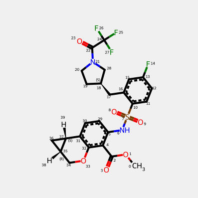 COC(=O)c1c(NS(=O)(=O)c2ccc(F)cc2C[C@H]2CCN(C(=O)C(F)(F)F)C2)ccc2c1OC[C@@H]1C[C@H]21